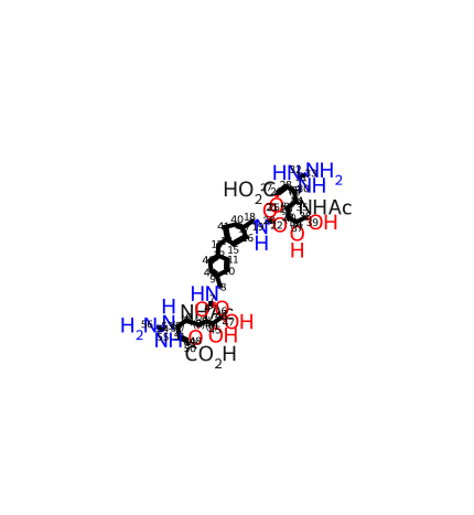 CC(=O)N[C@H]1[C@H]([C@H](OC(=O)NCc2ccc(Cc3ccc(CNC(=O)O[C@@H]([C@@H]4OC(C(=O)O)=C[C@H](NC(=N)N)[C@H]4NC(C)=O)[C@@H](O)CO)cc3)cc2)[C@H](O)CO)OC(C(=O)O)=C[C@@H]1NC(=N)N